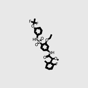 CCOc1cc(NC(=O)C(OC)c2c(C)cccc2F)ccc1S(=O)(=O)Nc1cccc(OC(C)(F)F)c1